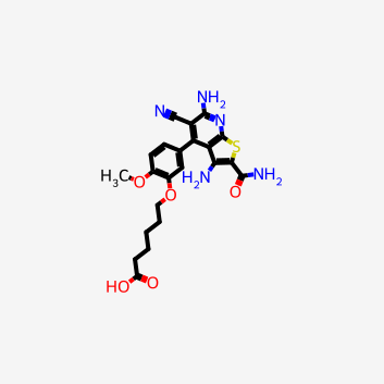 COc1ccc(-c2c(C#N)c(N)nc3sc(C(N)=O)c(N)c23)cc1OCCCCCC(=O)O